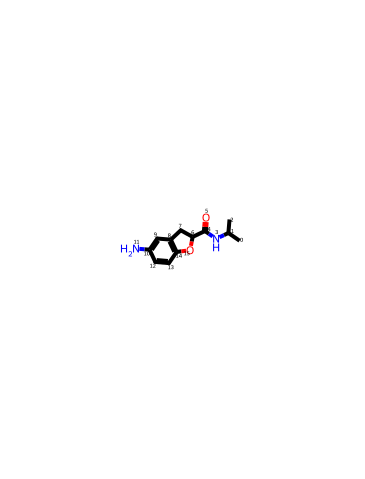 CC(C)NC(=O)C1Cc2cc(N)ccc2O1